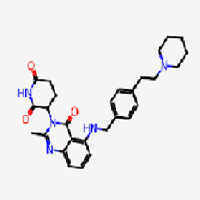 Cc1nc2cccc(NCc3ccc(CCN4CCCCC4)cc3)c2c(=O)n1C1CCC(=O)NC1=O